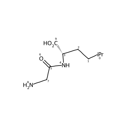 CC(C)CC[C@H](NC(=O)CN)C(=O)O